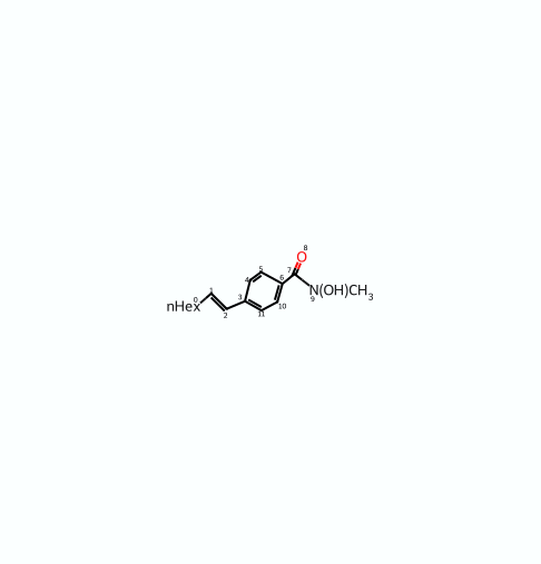 CCCCCCC=Cc1ccc(C(=O)N(C)O)cc1